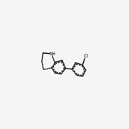 Clc1cccc(-c2ccc3c(c2)NCCC3)c1